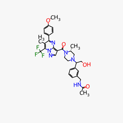 COc1ccc(-c2nc3c(C(=O)N4CCN(C(CO)c5cccc(CNC(C)=O)c5)C[C@H]4C)cnn3c(C(F)(F)F)c2C)cc1